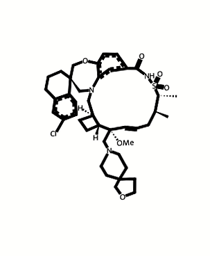 CO[C@@]1(CN2CCC3(CCOC3)CC2)/C=C/C[C@H](C)[C@@H](C)S(=O)(=O)NC(=O)c2ccc3c(c2)N(C[C@@H]2CC[C@H]21)C[C@@]1(CCCc2cc(Cl)ccc21)CO3